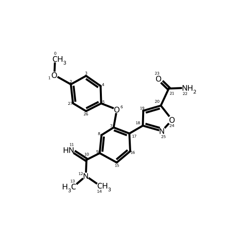 COc1ccc(Oc2cc(C(=N)N(C)C)ccc2-c2cc(C(N)=O)on2)cc1